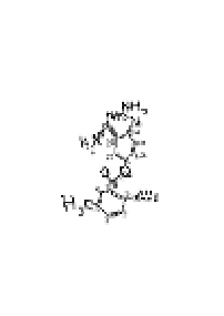 COc1ccc(C)cc1C(=O)Oc1ccc2nc(N)nc(N)c2c1